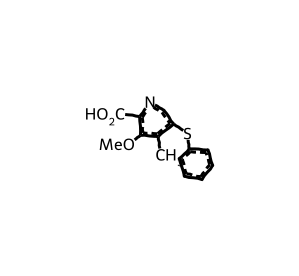 COc1c(C(=O)O)ncc(Sc2ccccc2)c1C